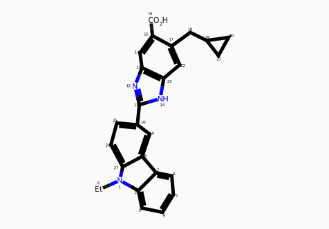 CCn1c2ccccc2c2cc(-c3nc4cc(C(=O)O)c(CC5CC5)cc4[nH]3)ccc21